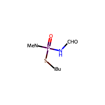 CCC(C)SP(=O)(NC)NC=O